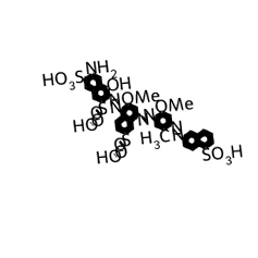 COc1cc(N=Nc2ccc3c(S(=O)(=O)O)cccc3c2)c(C)cc1N=Nc1cc(OC)c(N=Nc2c(SOOO)cc3cc(S(=O)(=O)O)c(N)cc3c2O)c2ccc(SOOO)cc12